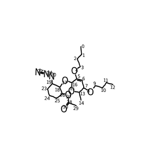 CCCCOC1=CC(OCCCC)C(C)OC1OC1C(N=[N+]=[N-])CCCC1OC(C)=O